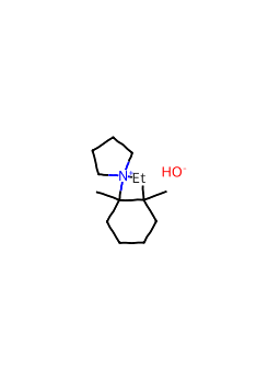 CC[N+]1(C2(C)CCCCC2(C)C)CCCC1.[OH-]